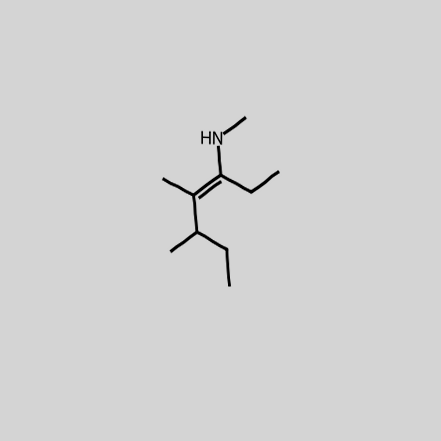 CC/C(NC)=C(/C)C(C)CC